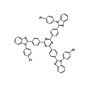 CC(C)c1ccc(-n2c(-c3ccc(-c4nc(-c5ccc(-c6nc7ccccc7n6-c6ccc(C(C)C)cc6)cc5)nc(-c5ccc(-c6nc7ccccc7n6-c6ccc(C(C)C)cc6)cc5)n4)cc3)nc3ccccc32)cc1